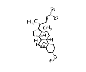 CC[C@H](/C=C/[C@@H](C)[C@H]1CC[C@H]2[C@@H]3CC=C4C[C@@H](OC(C)C)CC[C@]4(C)[C@H]3CC[C@]12C)C(C)C